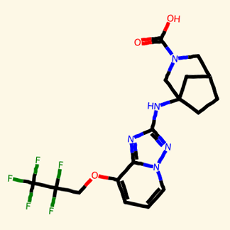 O=C(O)N1CC2CCC(Nc3nc4c(OCC(F)(F)C(F)(F)F)cccn4n3)(C2)C1